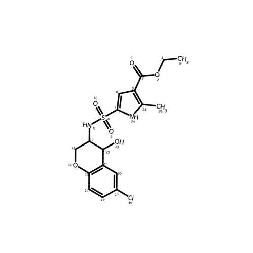 CCOC(=O)c1cc(S(=O)(=O)NC2COc3ccc(Cl)cc3C2O)[nH]c1C